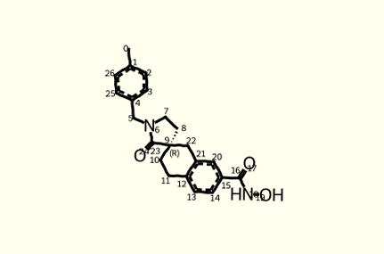 Cc1ccc(CN2CC[C@]3(CCc4ccc(C(=O)NO)cc4C3)C2=O)cc1